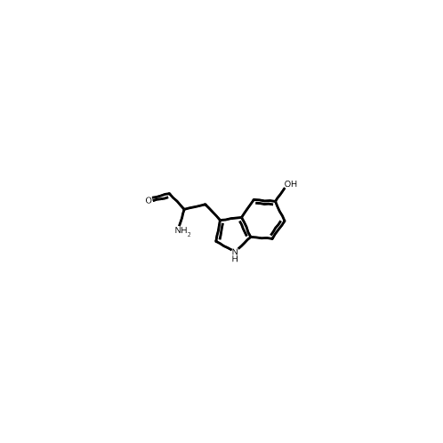 NC(C=O)Cc1c[nH]c2ccc(O)cc12